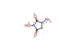 O=C1CC(P)C(=O)N1O